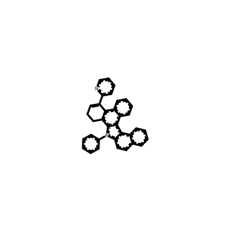 C1=C(c2ccccn2)c2c(c3c(c4ccccc24)c2c4ccccc4ccc2n3-c2ccccc2)CC1